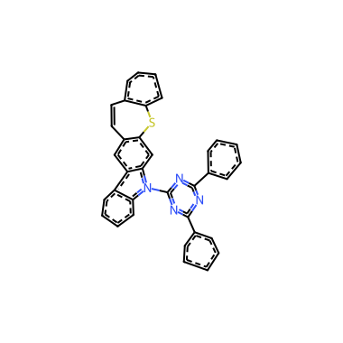 C1=Cc2cc3c4ccccc4n(-c4nc(-c5ccccc5)nc(-c5ccccc5)n4)c3cc2Sc2ccccc21